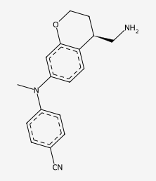 CN(c1ccc(C#N)cc1)c1ccc2c(c1)OCC[C@H]2CN